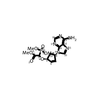 COC(=O)C(O[C@@H]1C=C[C@H](n2cnc3c(N)ncnc32)C1)P(=O)(OC)OC